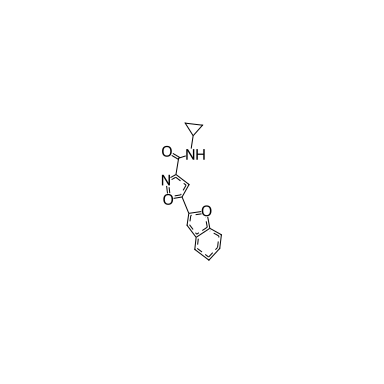 O=C(NC1CC1)c1cc(-c2cc3ccccc3o2)on1